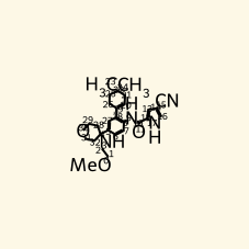 COCCNC1(c2ccc(NC(=O)c3cc(C#N)c[nH]3)c(C3=CCC(C)(C)CC3)c2)CCOCC1